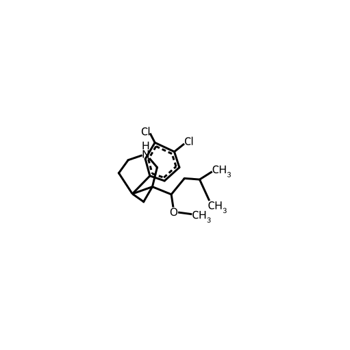 COC(CC(C)C)C12CNCCC1(c1ccc(Cl)c(Cl)c1)C2